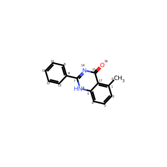 Cc1cccc2[nH]c(-c3ccccc3)nc(=O)c12